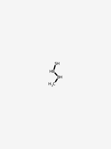 CBBS